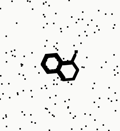 FC1=c2ccccc2=CCC1